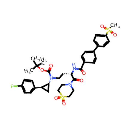 CC(C)(C)OC(=O)N(CC[C@H](NC(=O)c1ccc(-c2ccc(S(C)(=O)=O)cc2)cc1)C(=O)N1CCS(=O)(=O)CC1)[C@@H]1C[C@H]1c1ccc(F)cc1